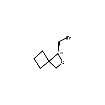 CC(C)C[C@H]1OCC12CCC2